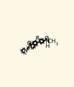 CNC(=O)c1ccc(-c2ccc3c(c2)CCN(CCN2CCCC2)C3=O)c(F)c1